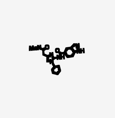 CNC(=O)Cc1cn(-c2ccccc2)c(NC(=O)c2ccc3[nH]ncc3c2)n1